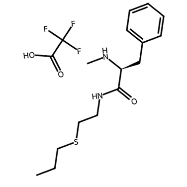 CCCSCCNC(=O)[C@H](Cc1ccccc1)NC.O=C(O)C(F)(F)F